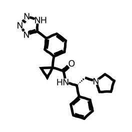 O=C(N[C@H](CN1CCCC1)c1ccccc1)C1(c2cccc(-c3nnn[nH]3)c2)CC1